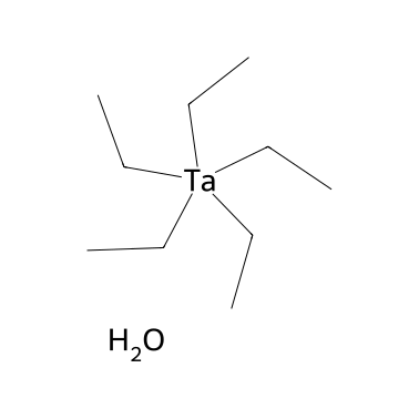 C[CH2][Ta]([CH2]C)([CH2]C)([CH2]C)[CH2]C.O